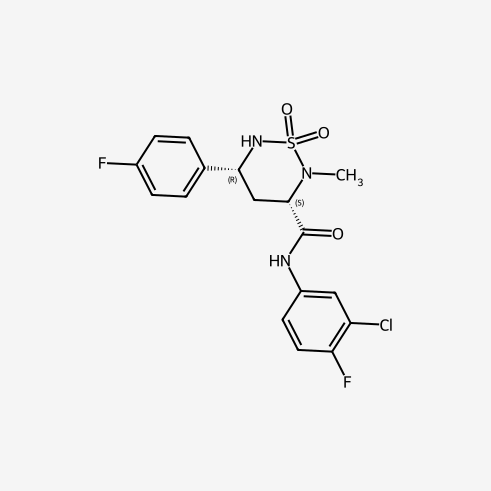 CN1[C@H](C(=O)Nc2ccc(F)c(Cl)c2)C[C@H](c2ccc(F)cc2)NS1(=O)=O